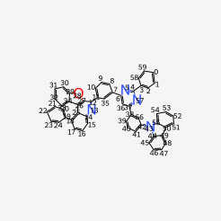 c1ccc(-c2nc(-c3cccc(-c4nc5cccc(-c6ccccc6)c5c5c4oc4ccccc45)c3)cc(-c3cccc(-n4c5ccccc5c5ccccc54)c3)n2)cc1